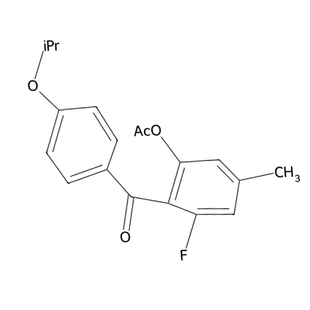 CC(=O)Oc1cc(C)cc(F)c1C(=O)c1ccc(OC(C)C)cc1